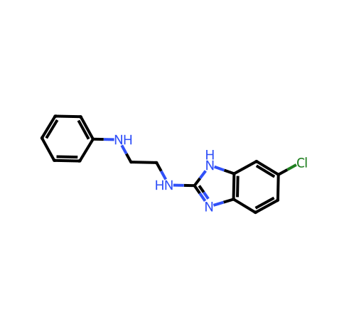 Clc1ccc2nc(NCCNc3ccccc3)[nH]c2c1